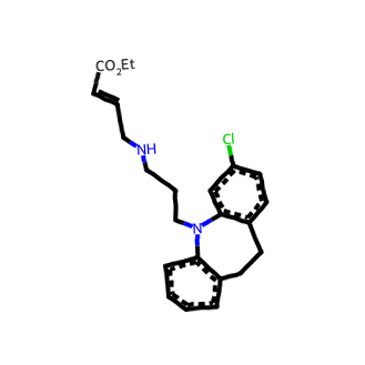 CCOC(=O)/C=C/CNCCCN1c2ccccc2CCc2ccc(Cl)cc21